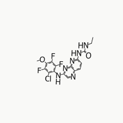 CCNC(=O)Nc1ccc2ncc(Nc3c(F)c(F)c(OC)c(F)c3Cl)nc2n1